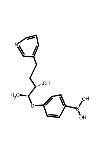 C[C@H](Oc1ccc(B(O)O)cc1)[C@@H](O)CCc1cccnc1